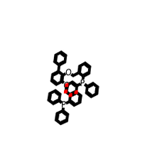 c1ccc(-c2cccc(OCc3ccccc3P(c3ccccc3)c3ccccc3)c2OCc2ccccc2P(c2ccccc2)c2ccccc2)cc1